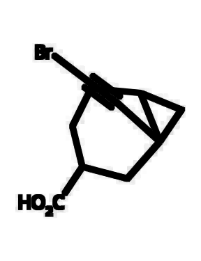 O=C(O)C1CCC2CC2(C#CBr)C1